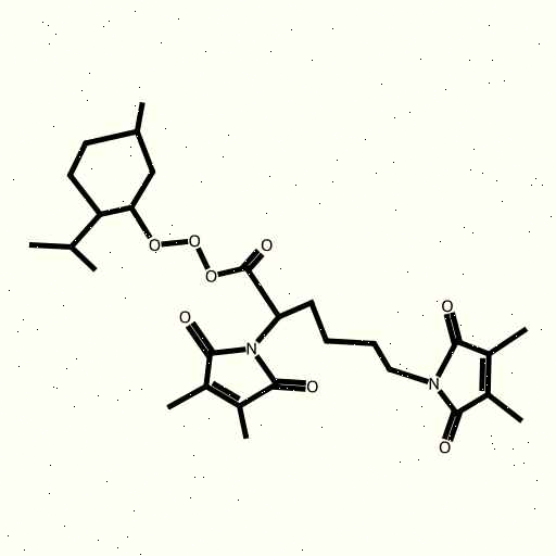 CC1=C(C)C(=O)N(CCCCC(C(=O)OOOC2CC(C)CCC2C(C)C)N2C(=O)C(C)=C(C)C2=O)C1=O